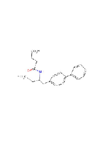 CCOC(=O)CC(Cc1ccc(-c2ccccc2)cc1)NC(=O)CCC(=O)O